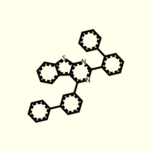 c1ccc(-c2cccc(-c3nc(-c4ccccc4-c4ccccc4)nc4sc5ccccc5c34)c2)cc1